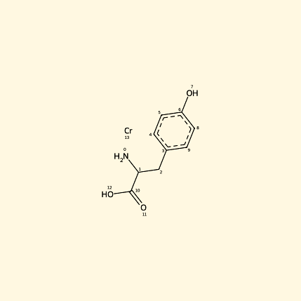 NC(Cc1ccc(O)cc1)C(=O)O.[Cr]